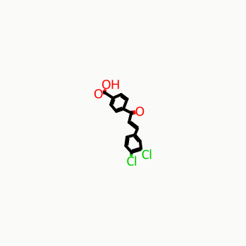 O=C(O)c1ccc(C(=O)C=Cc2ccc(Cl)c(Cl)c2)cc1